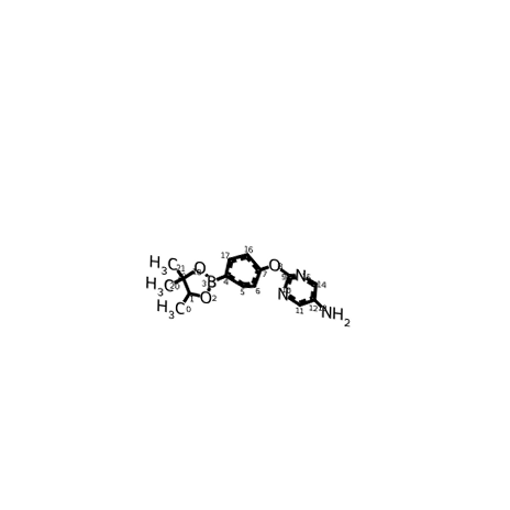 CC1OB(c2ccc(Oc3ncc(N)cn3)cc2)OC1(C)C